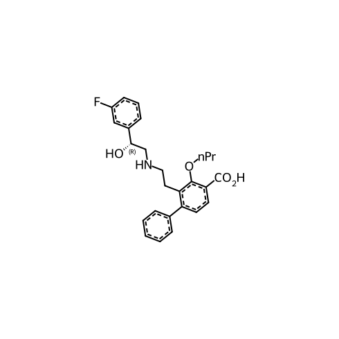 CCCOc1c(C(=O)O)ccc(-c2ccccc2)c1CCNC[C@H](O)c1cccc(F)c1